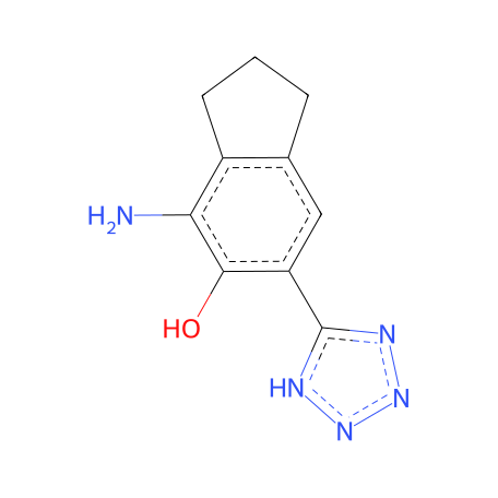 Nc1c(O)c(-c2nnn[nH]2)cc2c1CCC2